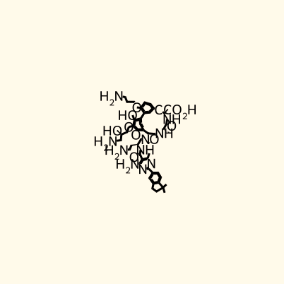 Cc1nc(-c2ccc3c(c2)CCC3(C)C)nc(N)c1C(=O)N[C@@H](CCN)C(=O)N(C)[C@@H]1C(=O)N[C@@H](C)C(=O)N[C@H](C(=O)O)Cc2ccc(OCCCN)c(c2)-c2cc1cc(OC[C@H](O)CN)c2O